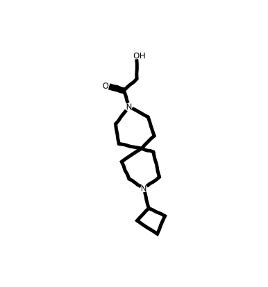 O=C(CO)N1CCC2(CC1)CCN(C1CCC1)CC2